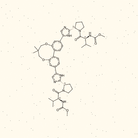 COC(=O)N[C@H](C(=O)N1CCC[C@H]1c1ncc(-c2ccc3c(c2)OCC(C)(C)COc2cc(-c4cnc([C@@H]5CCCN5C(=O)[C@@H](NC(=O)OC)C(C)C)[nH]4)ccc2-3)[nH]1)C(C)C